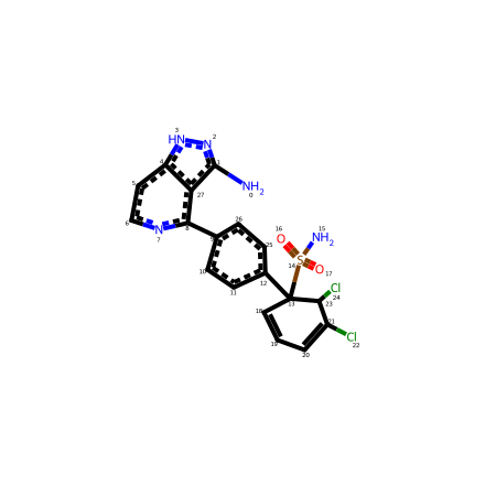 Nc1n[nH]c2ccnc(-c3ccc(C4(S(N)(=O)=O)C=CC=C(Cl)C4Cl)cc3)c12